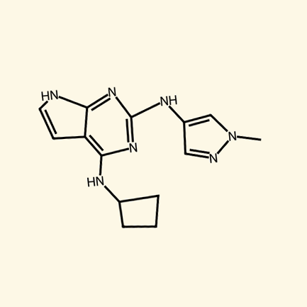 Cn1cc(Nc2nc(NC3CCC3)c3cc[nH]c3n2)cn1